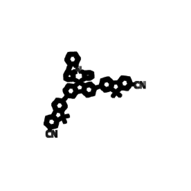 CC1(C)c2cc(C#N)ccc2-c2ccc(-c3ccc4c(c3)-c3ccc(-c5ccc6c(c5)C(C)(C)c5cc(C#N)ccc5-6)cc3C43c4ccccc4-n4c5ccccc5c5cccc3c54)cc21